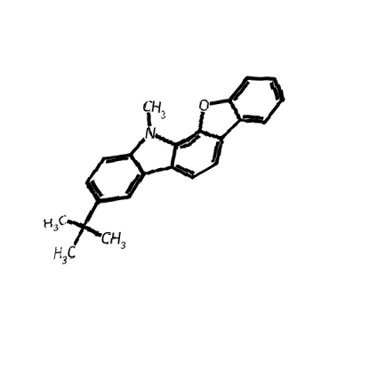 Cn1c2ccc(C(C)(C)C)cc2c2ccc3c4ccccc4oc3c21